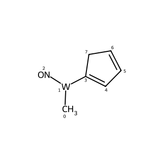 [CH3][W]([N]=O)[C]1=CC=CC1